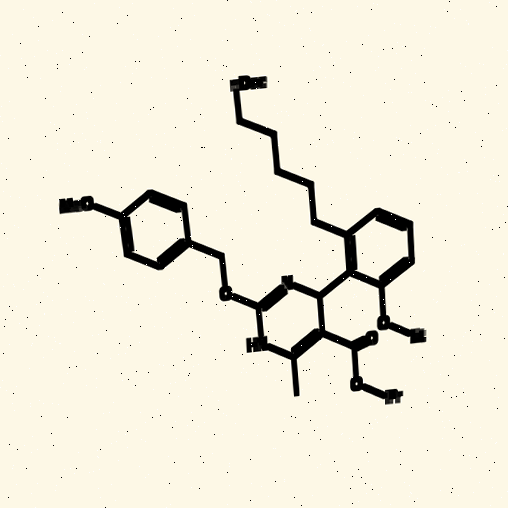 CCCCCCCCCCCCCCCc1cccc(OCC)c1C1N=C(OCc2ccc(OC)cc2)NC(C)=C1C(=O)OC(C)C